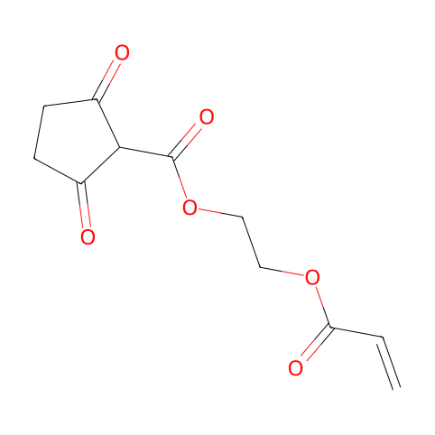 C=CC(=O)OCCOC(=O)C1C(=O)CCC1=O